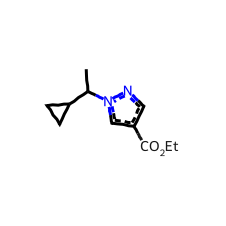 CCOC(=O)c1cnn(C(C)C2CC2)c1